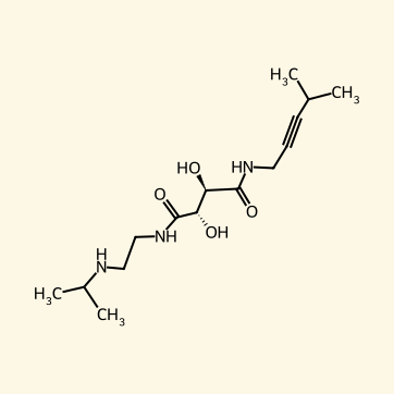 CC(C)C#CCNC(=O)[C@H](O)[C@H](O)C(=O)NCCNC(C)C